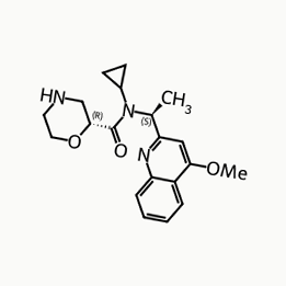 COc1cc([C@H](C)N(C(=O)[C@H]2CNCCO2)C2CC2)nc2ccccc12